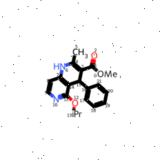 COC(=O)C1=C(C)Nc2ccnc(OC(C)C)c2C1c1ccccc1